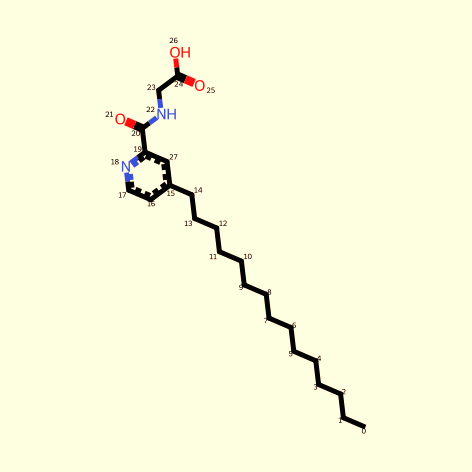 CCCCCCCCCCCCCCCc1ccnc(C(=O)NCC(=O)O)c1